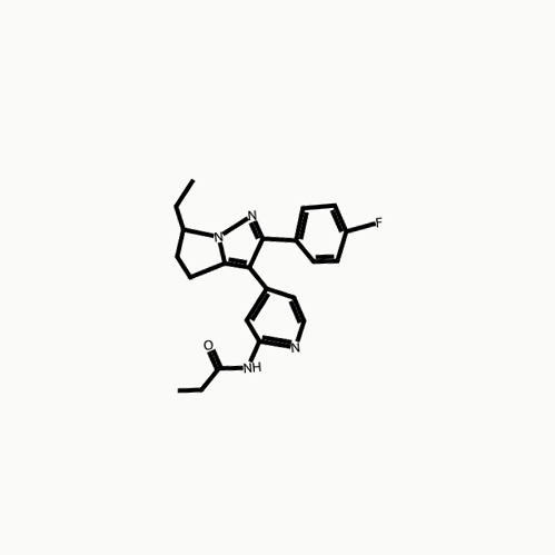 CCC(=O)Nc1cc(-c2c(-c3ccc(F)cc3)nn3c2CCC3CC)ccn1